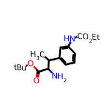 CCOC(=O)Nc1cccc(C(C)C(N)C(=O)OC(C)(C)C)c1